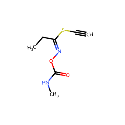 C#CSC(CC)=NOC(=O)NC